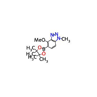 COc1c(B2OC(C)(C)C(C)(C)O2)ccc2c1nnn2C